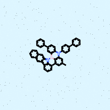 Cc1cc2c3c(c1)N(c1ccc(-c4ccccc4)cc1)c1ccc(-c4ccccc4)cc1B3n1c3cc4ccccc4cc3c3cccc-2c31